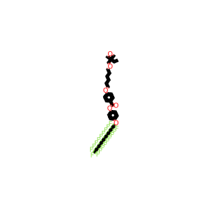 CCC1(COCCCCCCOc2ccc(C(=O)Oc3ccc(OC(F)(F)C(F)(F)C(F)(F)C(F)(F)C(F)(F)C(F)(F)C(F)(F)C(F)(F)C(F)(F)F)cc3)cc2)COC1